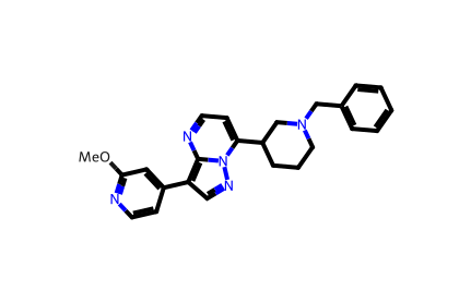 COc1cc(-c2cnn3c(C4CCCN(Cc5ccccc5)C4)ccnc23)ccn1